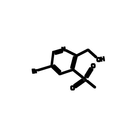 CS(=O)(=O)c1cc(Br)cnc1CO